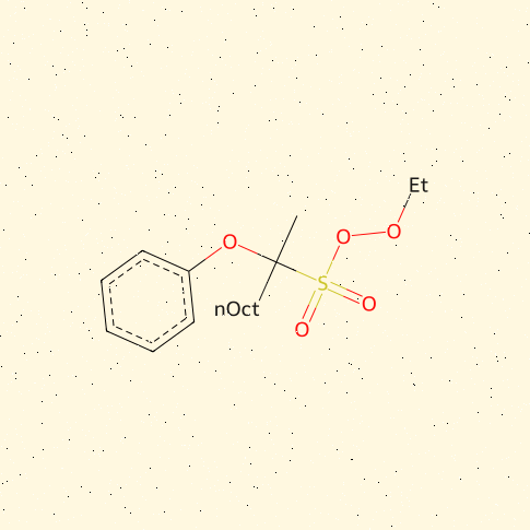 CCCCCCCCC(C)(Oc1ccccc1)S(=O)(=O)OOCC